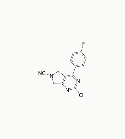 N#CN1Cc2nc(Cl)nc(-c3ccc(F)cc3)c2C1